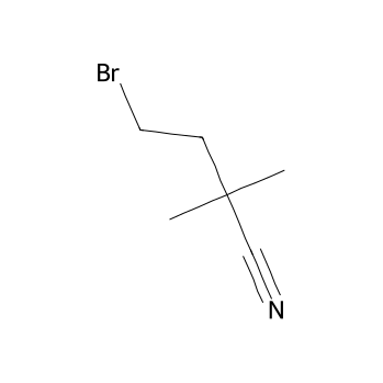 CC(C)(C#N)CCBr